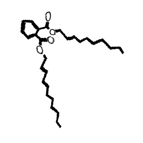 CCCCCCCCCCCOC(=O)c1ccccc1C(=O)OCCCCCCCCCC